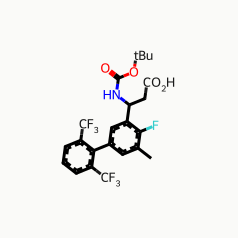 Cc1cc(-c2c(C(F)(F)F)cccc2C(F)(F)F)cc(C(CC(=O)O)NC(=O)OC(C)(C)C)c1F